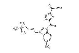 COC(=O)c1csc(C(=O)c2cn(COCC[Si](C)(C)C)c3cc([N+](=O)[O-])ccc23)n1